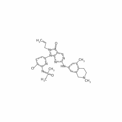 C=CCn1c(=O)c2cnc(Nc3cc(C)c4c(c3)CN(C)CC4)nc2n1-c1ccc(Cl)c(N=S(C)(C)=O)n1